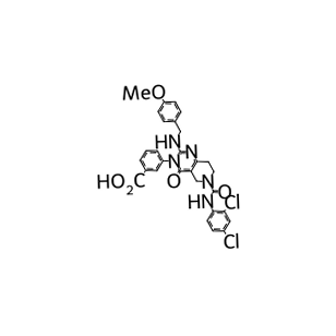 COc1ccc(CNc2nc3c(c(=O)n2-c2cccc(C(=O)O)c2)CN(C(=O)Nc2ccc(Cl)cc2Cl)CC3)cc1